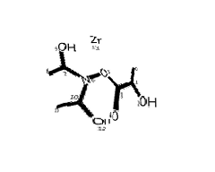 CC(O)C(=O)ON(C(C)O)C(C)O.[Zr]